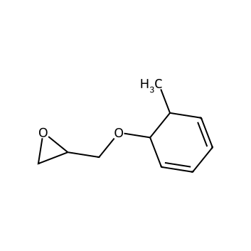 CC1C=CC=CC1OCC1CO1